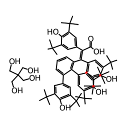 CC(C)(C)c1cc(C(C(=O)O)=C(c2cc(C(C)(C)C)c(O)c(C(C)(C)C)c2)c2cccc(-c3cc(C(C)(C)C)c(O)c(C(C)(C)C)c3)c2-c2cc(C(C)(C)C)c(O)c(C(C)(C)C)c2)cc(C(C)(C)C)c1O.OCC(CO)(CO)CO